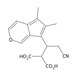 Cc1c2ccocc-2c(C(CC#N)C(C(=O)O)C(=O)O)c1C